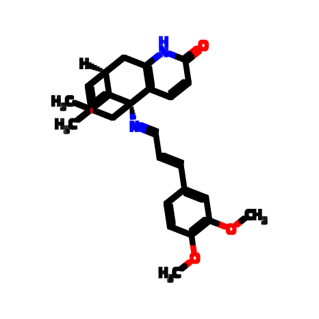 C/C=C1\[C@H]2C=C(C)C[C@]1(N=CC=Cc1ccc(OC)c(OC)c1)c1ccc(=O)[nH]c1C2